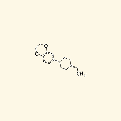 [CH2]C=C1CCC(c2ccc3c(c2)OCCO3)CC1